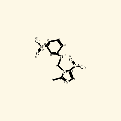 Cc1ncc([N+](=O)[O-])n1COc1cccc([N+](=O)[O-])c1